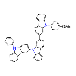 COc1ccc(-n2c3ccccc3c3ccc(-c4ccc5c6ccccc6n(-c6ccc7c(c6)c6ccccc6n7-c6ccccc6)c5c4)cc32)cc1